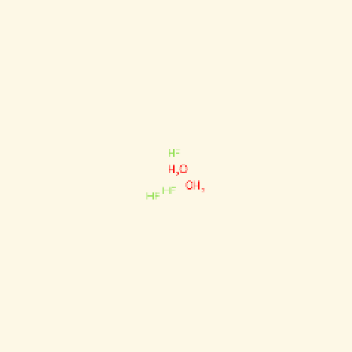 F.F.F.O.O